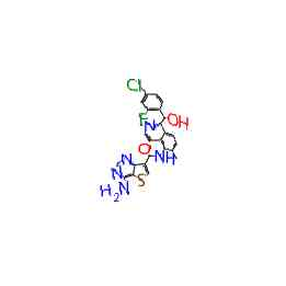 Cc1ccc2c(C(O)c3ccc(Cl)cc3F)nccc2c1NC(=O)c1csc2c(N)ncnc12